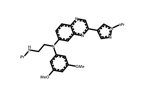 CCCn1cc(-c2cnc3ccc(N(CCNC(C)C)c4cc(OC)cc(OC)c4)cc3n2)cn1